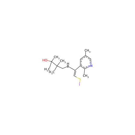 Cc1cnc(C)c(/C(BCC(C)(C)C(C)(C)O)=C\SI)c1